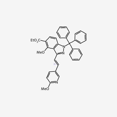 CCOC(=O)c1ccc2c(c(/C=C/c3ccc(OC)nc3)nn2C(c2ccccc2)(c2ccccc2)c2ccccc2)c1OC